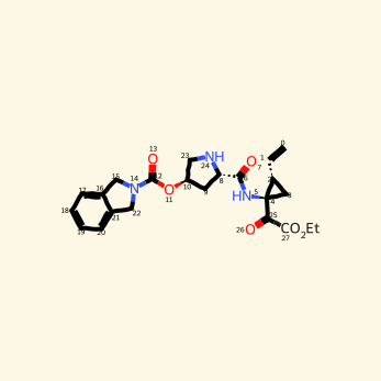 C=C[C@@H]1C[C@]1(NC(=O)[C@@H]1C[C@@H](OC(=O)N2Cc3ccccc3C2)CN1)C(=O)C(=O)OCC